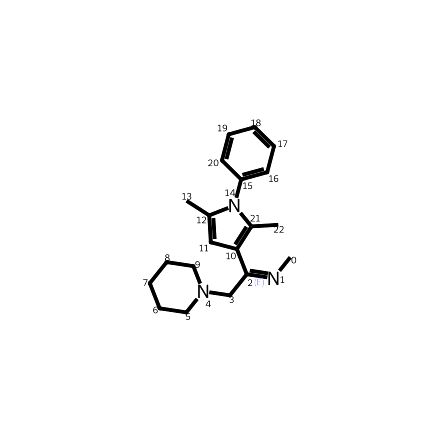 C/N=C(/CN1CCCCC1)c1cc(C)n(-c2ccccc2)c1C